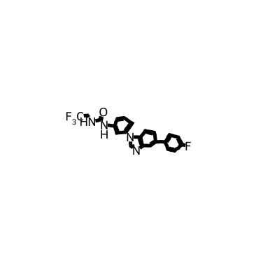 O=C(NCC(F)(F)F)Nc1cccc(-n2cnc3cc(-c4ccc(F)cc4)ccc32)c1